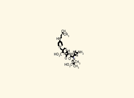 CN(C)CCNc1cc[n+](CC2=C(C(=O)O)N3C(=O)[C@@H](NC(=O)/C(=N\OC(C)(C)C(=O)O)c4nsc(N)n4)[C@H]3SC2)cc1